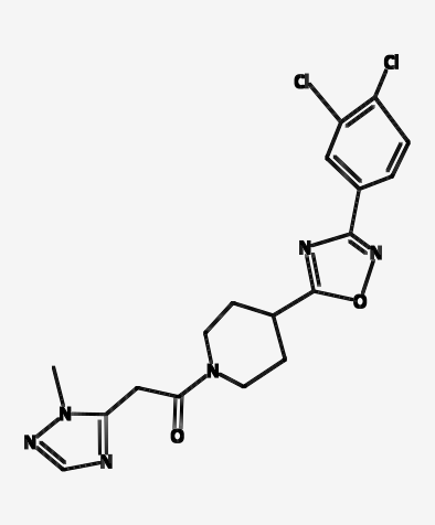 Cn1ncnc1CC(=O)N1CCC(c2nc(-c3ccc(Cl)c(Cl)c3)no2)CC1